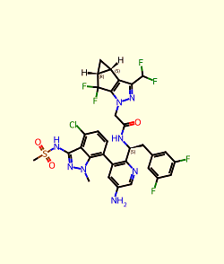 Cn1nc(NS(C)(=O)=O)c2c(Cl)ccc(-c3cc(N)cnc3[C@H](Cc3cc(F)cc(F)c3)NC(=O)Cn3nc(C(F)F)c4c3C(F)(F)[C@@H]3C[C@H]43)c21